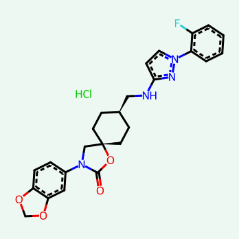 Cl.O=C1O[C@]2(CC[C@H](CNc3ccn(-c4ccccc4F)n3)CC2)CN1c1ccc2c(c1)OCO2